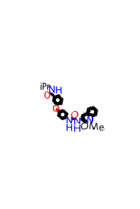 COc1nc2ccccc2cc1NC(=O)Nc1ccc(Oc2cccc(C(=O)NC(C)C)c2)cc1